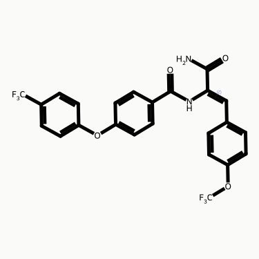 NC(=O)/C(=C/c1ccc(OC(F)(F)F)cc1)NC(=O)c1ccc(Oc2ccc(C(F)(F)F)cc2)cc1